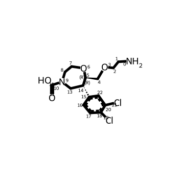 NCCOC[C@@H]1OCCN(C(=O)O)C[C@H]1c1ccc(Cl)c(Cl)c1